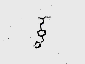 COC(=O)/C=C/c1ccc(Cn2ccnc2)cc1